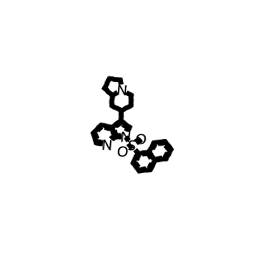 O=S(=O)(c1cccc2ccccc12)n1cc(C2CCN3CCCC3C2)c2cccnc21